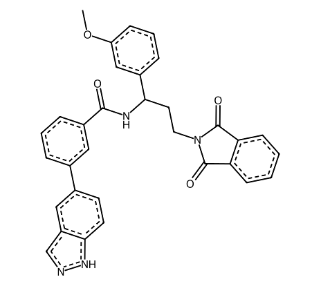 COc1cccc(C(CCN2C(=O)c3ccccc3C2=O)NC(=O)c2cccc(-c3ccc4[nH]ncc4c3)c2)c1